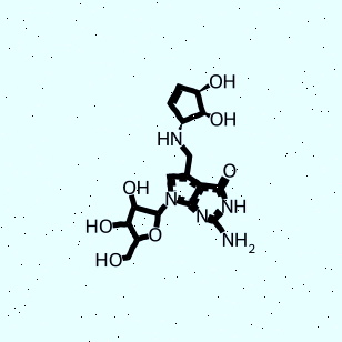 Nc1nc2c(c(CN[C@@H]3C=C[C@@H](O)[C@H]3O)cn2C2OC(CO)C(O)C2O)c(=O)[nH]1